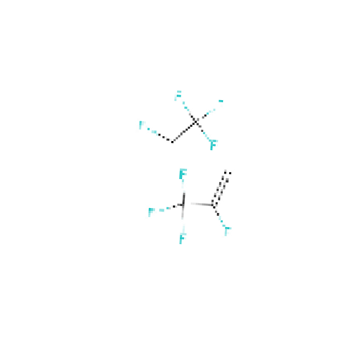 C=C(F)C(F)(F)F.FCC(F)(F)F